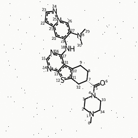 CN1CCN(C(=O)[C@H]2CCc3c(sc4ncnc(Nc5cc6ccnn6cc5N(C)C)c34)C2)CC1